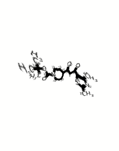 Cc1nc(C)c(C(=O)CC(=O)C2CCN(C(=O)OC(C)(C)C)CC2)s1